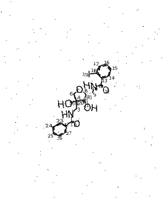 O=C(NC[C@]1(O)CO[C@H](CNC(=O)c2ccccc2I)[C@H]1O)c1ccccc1